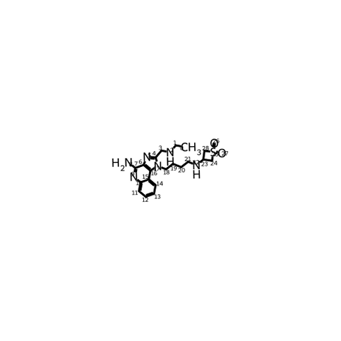 CCNCc1nc2c(N)nc3ccccc3c2n1CCCCNC1CS(=O)(=O)C1